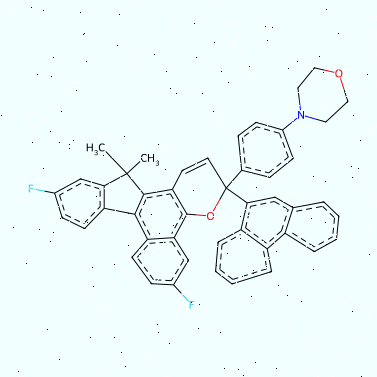 CC1(C)c2cc(F)ccc2-c2c1c1c(c3cc(F)ccc23)OC(c2ccc(N3CCOCC3)cc2)(c2cc3ccccc3c3ccccc23)C=C1